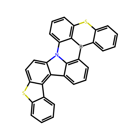 c1ccc2c(c1)Sc1cccc3c1B2c1cccc2c4c5c(ccc4n-3c12)sc1ccccc15